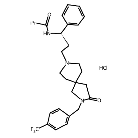 CC(C)C(=O)N[C@@H](CCN1CCC2(CC1)CC(=O)N(Cc1ccc(C(F)(F)F)cc1)C2)c1ccccc1.Cl